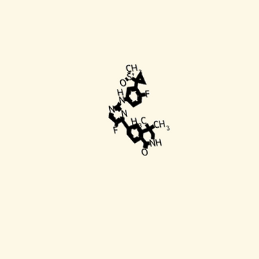 C[S+]([O-])C1(c2cc(Nc3ncc(F)c(-c4ccc5c(c4)C(C)(C)CNC5=O)n3)ccc2F)CC1